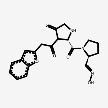 O=C(Cc1cc2ccccc2o1)C1C(=S)CN[C@@H]1C(=O)N1CCC[C@H]1C=NO